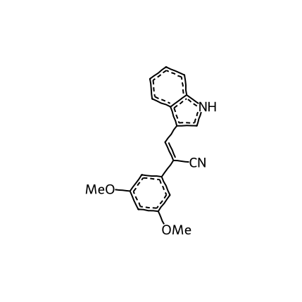 COc1cc(OC)cc(/C(C#N)=C/c2c[nH]c3ccccc23)c1